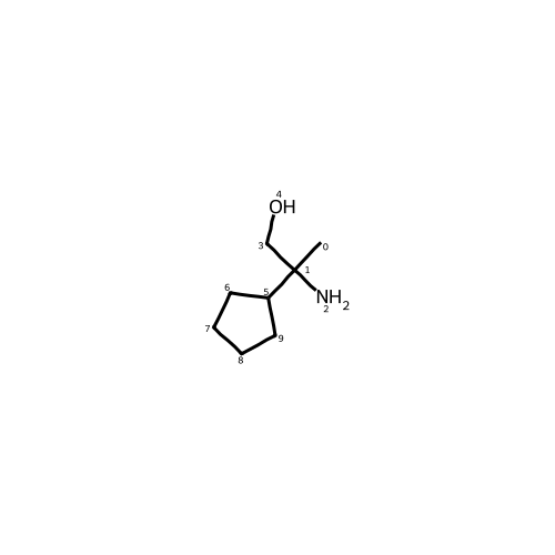 CC(N)(CO)C1CCCC1